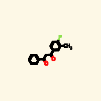 Cc1cc(C(=O)CC(=O)c2ccccc2)ccc1F